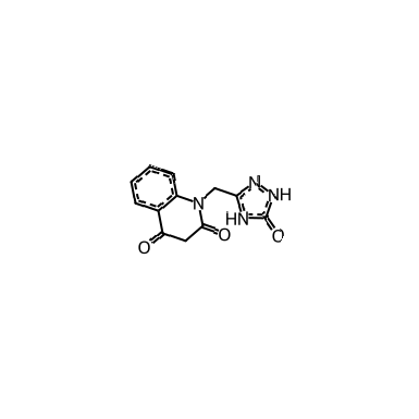 O=C1CC(=O)N(Cc2n[nH]c(=O)[nH]2)c2ccccc21